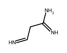 N=CCC(=N)N